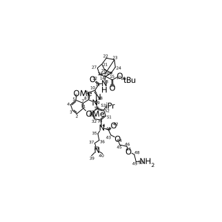 COc1cccc(OC)c1-c1cc(C(=O)NC2(C(=O)OC(C)(C)C)C3CC4CC(C3)CC2C4)nn1-c1ccc(N(CCCN(C)C)C(=O)COCCOCCN)cc1C(C)C